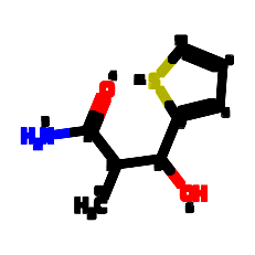 CC(C(N)=O)C(O)c1cccs1